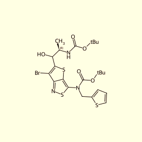 C[C@@H](NC(=O)OC(C)(C)C)C(O)c1sc2c(N(Cc3cccs3)C(=O)OC(C)(C)C)snc2c1Br